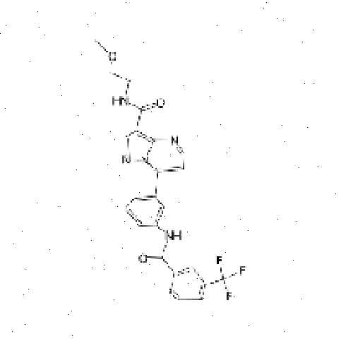 COCCNC(=O)c1cnn2c(-c3cccc(NC(=O)c4cccc(C(F)(F)F)c4)c3)ccnc12